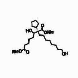 COC(=O)C/C=C/C[C@@H](O)[C@](C=CCCCCCCO)(C(=O)OC)C1CCCC1